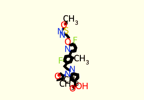 CCOc1nnc(COc2nc(-c3cc(F)c(Cc4nc5ccc(C(=O)O)cc5n4C4COCC4(C)C)cc3C)ccc2F)s1